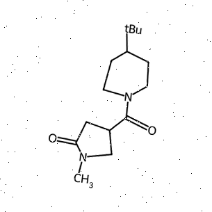 CN1CC(C(=O)N2CCC(C(C)(C)C)CC2)CC1=O